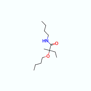 CCCCNC(=O)C(C)(CC)OCCCC